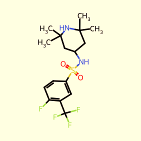 CC1(C)CC(NS(=O)(=O)c2ccc(F)c(C(F)(F)F)c2)CC(C)(C)N1